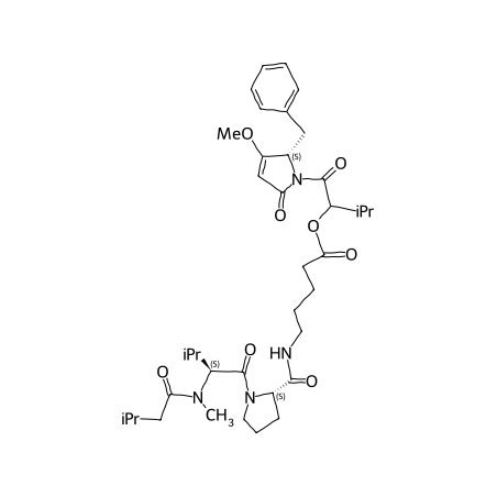 COC1=CC(=O)N(C(=O)C(OC(=O)CCCCNC(=O)[C@@H]2CCCN2C(=O)[C@H](C(C)C)N(C)C(=O)CC(C)C)C(C)C)[C@H]1Cc1ccccc1